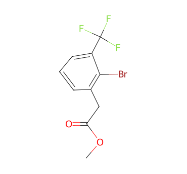 COC(=O)Cc1cccc(C(F)(F)F)c1Br